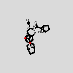 N#C[C@H](Cc1ccc(N2C3CCC2CN(C2COC2)C3)cc1F)NC(=O)C1NC2CCC1C2